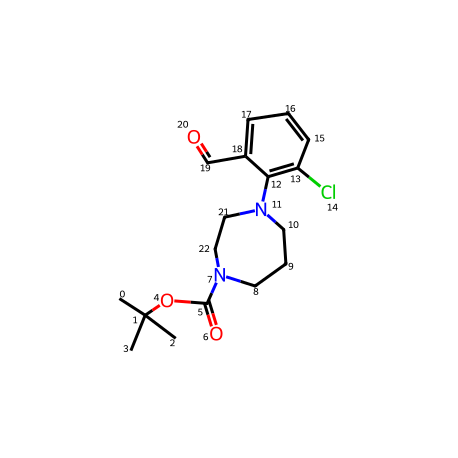 CC(C)(C)OC(=O)N1CCCN(c2c(Cl)cccc2C=O)CC1